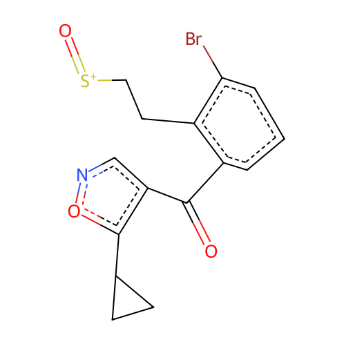 O=[S+]CCc1c(Br)cccc1C(=O)c1cnoc1C1CC1